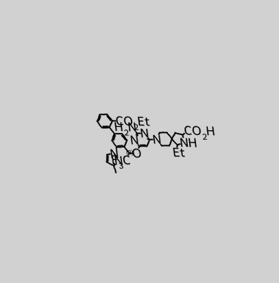 CCOC(=O)c1ccccc1-c1ccc([C@@H](Oc2cc(N3CCC4(CC3)CC(C(=O)O)NC4CC)nc(N)n2)C(F)(F)F)c(-n2ccc(C)n2)c1